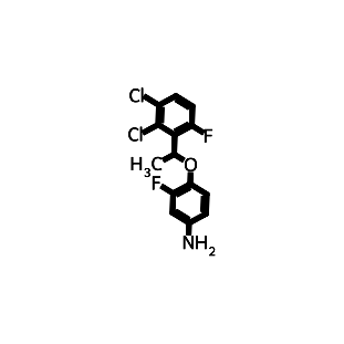 CC(Oc1ccc(N)cc1F)c1c(F)ccc(Cl)c1Cl